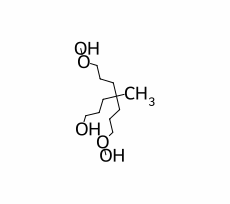 CC(CCCO)(CCCOO)CCCOO